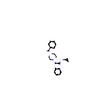 O=C(c1ccc(Br)c(C(F)(F)F)c1)N1CCN(c2nc3ccccc3nc2NC2CC2)CC1